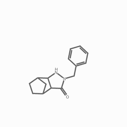 O=C1C2C3CCC(C3)C2NN1Cc1ccccc1